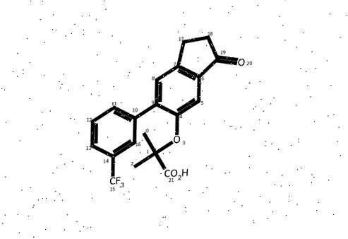 CC(C)(Oc1cc2c(cc1-c1cccc(C(F)(F)F)c1)CCC2=O)C(=O)O